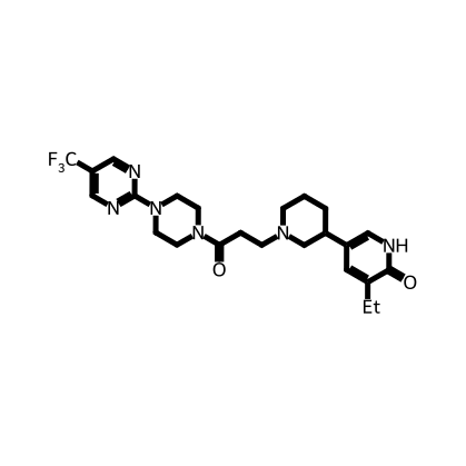 CCc1cc(C2CCCN(CCC(=O)N3CCN(c4ncc(C(F)(F)F)cn4)CC3)C2)c[nH]c1=O